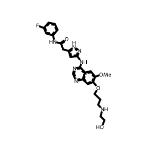 COc1cc2c(Nc3cc(CC(=O)Nc4cccc(F)c4)[nH]n3)ncnc2cc1OCCCNCCO